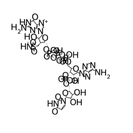 CNS(=O)(=O)C[C@@H]1[C@@H](COP(=O)(O)OP(=O)(O)OP(=O)(O)OCC2O[C@@H](n3cnc4c(N)ncnc43)[C@H](OC)[C@@H]2OP(=O)(O)OC[C@H]2O[C@@H](n3ccc(=O)[nH]c3=O)[C@H](O)[C@@H]2O)OC(n2c[n+](C)c3c(=O)[nH]c(N)nc32)[C@@H]1O